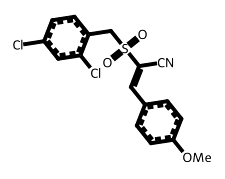 COc1ccc(/C=C(\C#N)S(=O)(=O)Cc2ccc(Cl)cc2Cl)cc1